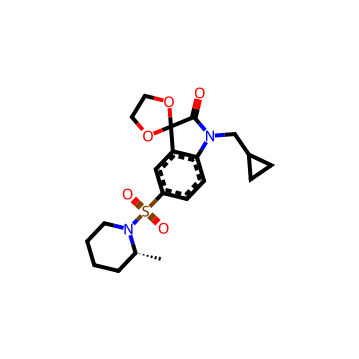 C[C@@H]1CCCCN1S(=O)(=O)c1ccc2c(c1)C1(OCCO1)C(=O)N2CC1CC1